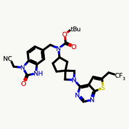 CC(C)(C)OC(=O)N(Cc1ccc2c(c1)[nH]c(=O)n2CC#N)C1CCC2(C1)CN(c1ncnc3sc(CC(F)(F)F)cc13)C2